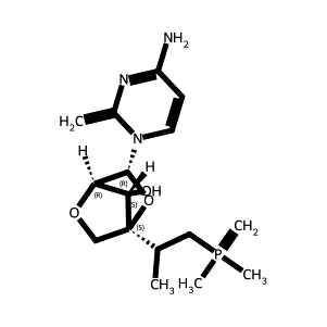 C=C1N=C(N)C=CN1[C@@H]1O[C@@]2(C(C)CP(=C)(C)C)CO[C@@H]1[C@@H]2O